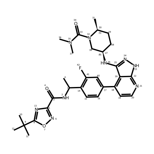 CC(NC(=O)c1noc(C(C)(C)C)n1)c1ccc(-c2ccnc3[nH]nc(N[C@@H]4CC[C@H](C)N(C(=O)N(C)C)C4)c23)cc1F